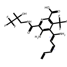 C=C/C=C\C=C(/N)c1c(N)c(C(=O)NCC(C)(O)C(F)(F)F)nc(C(=O)O)c1C(F)(F)F